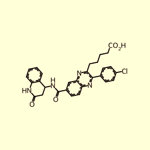 O=C(O)CCCCc1nc2cc(C(=O)NC3CC(=O)Nc4ccccc43)ccc2nc1-c1ccc(Cl)cc1